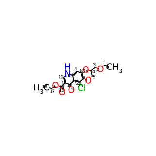 CCOCC1COc2c(cc3[nH]cc(C(=O)OCC)c(=O)c3c2Cl)O1